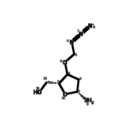 B[C@H]1CC(OCN=[N+]=[N-])[C@@H](CO)O1